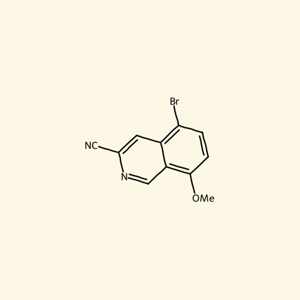 COc1ccc(Br)c2cc(C#N)ncc12